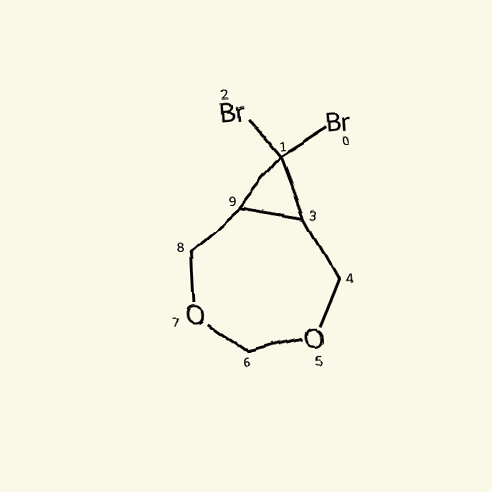 BrC1(Br)C2COCOCC21